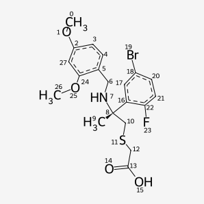 COc1ccc(CN[C@@](C)(CSCC(=O)O)c2cc(Br)ccc2F)c(OC)c1